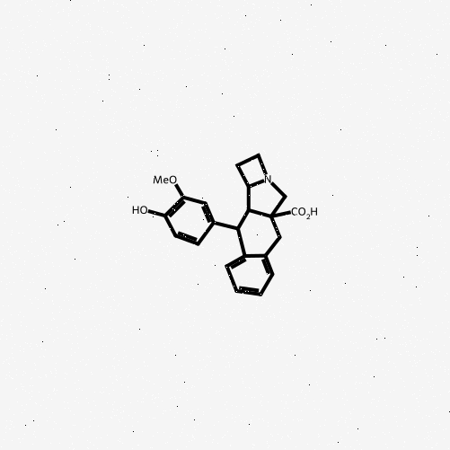 COc1cc(C2c3ccccc3CC3(C(=O)O)CN4CCC4C23)ccc1O